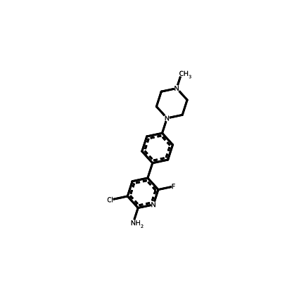 CN1CCN(c2ccc(-c3cc(Cl)c(N)nc3F)cc2)CC1